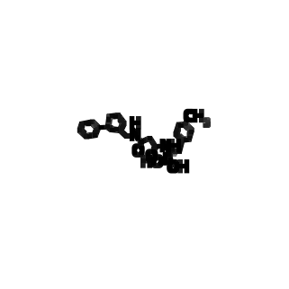 Cc1ccc(C[C@H](NC(=O)CC(=O)NCc2cccc(-c3ccccc3)c2)B(O)O)cc1